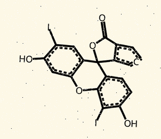 O=C1OC2(c3cc(I)c(O)cc3Oc3c2ccc(O)c3I)c2ccccc21